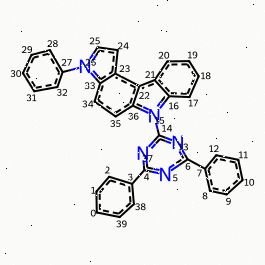 c1ccc(-c2nc(-c3ccccc3)nc(-n3c4ccccc4c4c5ccn(-c6ccccc6)c5ccc43)n2)cc1